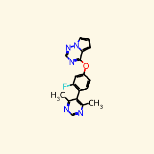 Cc1ncnc(C)c1-c1ccc(Oc2ncnn3cccc23)cc1F